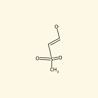 CS(=O)(=O)/C=C/[O]